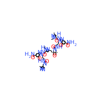 CCn1nc(C)cc1C(=O)Nc1nc2cc(C(N)=O)cc(OC)c2n1CCCNC(=O)N1C[C@]2(C)COC[C@]2(CCc2cc(C(=O)Nc3nc4cc(C(N)=O)cc(OC)c4n3CCCNC(=O)N(C)Cc3cnn(C)c3C)n(CC)n2)C1